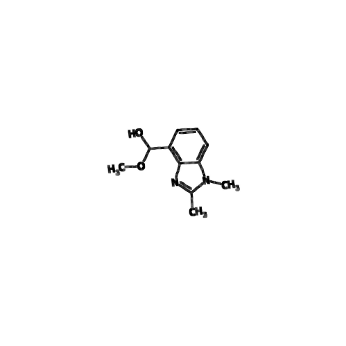 COC(O)c1cccc2c1nc(C)n2C